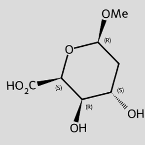 CO[C@H]1C[C@H](O)[C@@H](O)[C@@H](C(=O)O)O1